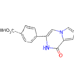 O=C(O)c1ccc(-c2cn3cccc3c(=O)[nH]2)cc1